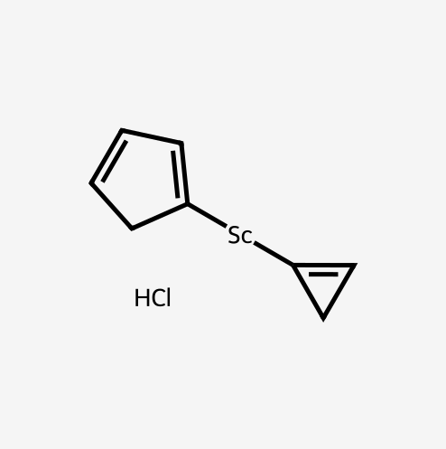 C1=CC[C]([Sc][C]2=CC2)=C1.Cl